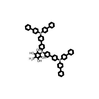 Bc1c(O)c(O)c(N(c2ccc(-c3ccc(N(c4ccc(-c5ccccc5)cc4)c4ccc(-c5ccccc5)cc4)cc3)cc2)c2ccc(-c3ccc(N(c4ccc(-c5ccccc5)cc4)c4ccc(-c5ccccc5)cc4)cc3)cc2)c(O)c1O